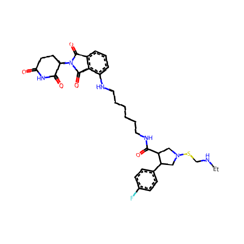 CCNCSN1CC(C(=O)NCCCCCCNc2cccc3c2C(=O)N(C2CCC(=O)NC2=O)C3=O)C(c2ccc(F)cc2)C1